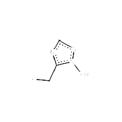 Cn1ncnc1C[O]